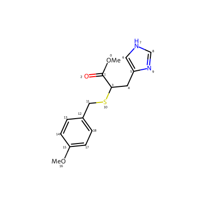 COC(=O)C(Cc1c[nH]cn1)SCc1ccc(OC)cc1